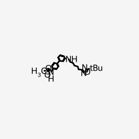 CC(C)(C)c1nc(CCCCCNc2cccc(-c3ccc(NS(C)(=O)=O)cc3)c2)no1